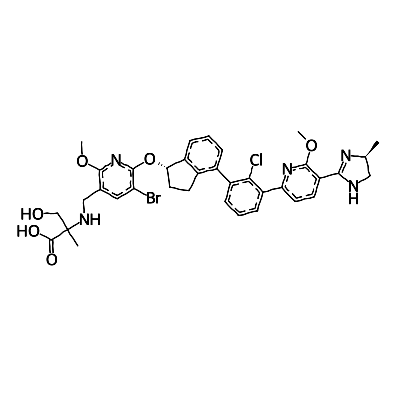 COc1nc(O[C@H]2CCc3c(-c4cccc(-c5ccc(C6=N[C@@H](C)CN6)c(OC)n5)c4Cl)cccc32)c(Br)cc1CNC(C)(CO)C(=O)O